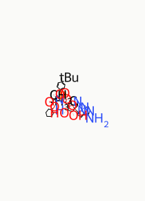 C/N=C\[C@@]1(c2ccc3c(N)ncnn23)O[C@H](COP(=O)(N[C@@H](C)C(=O)OC2CCCCC2)Oc2ccc(C(C)(C)C)cc2)[C@@H](O)[C@H]1O